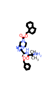 CC(C)(N)C(=O)N[C@H](COCc1ccccc1)c1nnc2n1CCN(C(=O)OCc1cccc3ccccc13)C2